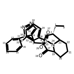 CC[C@H]1CN(Cc2cnnn2-c2ccccc2)C(=O)C2CCCC1N2S(=O)(=O)c1cccc(F)c1